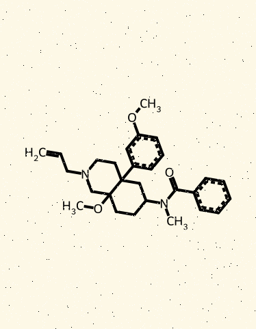 C=CCN1CCC2(c3cccc(OC)c3)CC(N(C)C(=O)c3ccccc3)CCC2(OC)C1